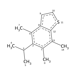 Cc1c(C(C)C)c(C)c2ccsc2c1C